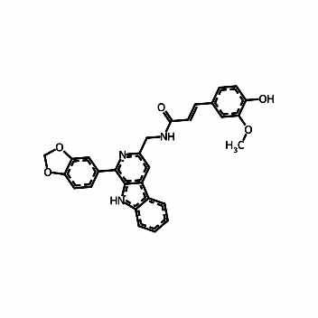 COc1cc(/C=C/C(=O)NCc2cc3c([nH]c4ccccc43)c(-c3ccc4c(c3)OCO4)n2)ccc1O